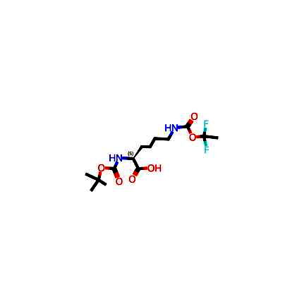 CC(C)(C)OC(=O)N[C@@H](CCCCNC(=O)OC(C)(F)F)C(=O)O